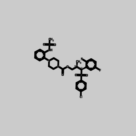 C[C@H](COC(=O)N1CCN(c2ccccc2NS(C)(=O)=O)CC1)[C@@H](c1cc(F)ccc1F)S(=O)(=O)c1ccc(Cl)cc1